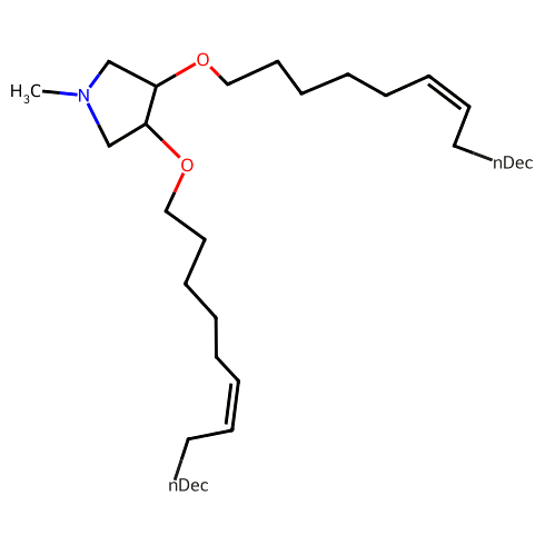 CCCCCCCCCCC/C=C\CCCCCOC1CN(C)CC1OCCCCC/C=C\CCCCCCCCCCC